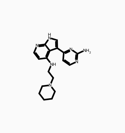 Nc1nccc(-c2c[nH]c3nccc(NCCN4CCCCC4)c23)n1